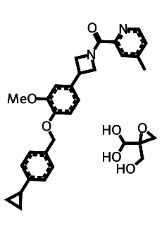 COc1cc(C2CN(C(=O)c3cc(C)ccn3)C2)ccc1OCc1ccc(C2CC2)cc1.OCC1(C(O)O)CO1